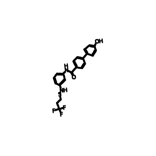 O=C(Nc1cccc(NSCCC(F)(F)F)c1)c1ccc(-c2ccc(O)cc2)cc1